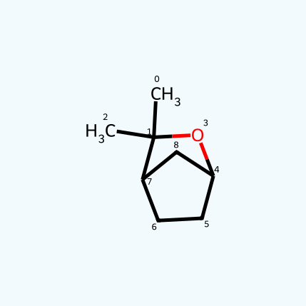 CC1(C)OC2CCC1C2